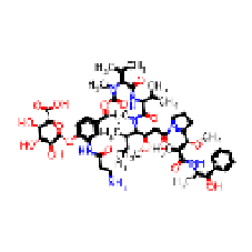 CCC(C)C(C(CC(=O)N1CCCC1C(OC)C(C)C(=O)NC(C)C(O)c1ccccc1)OC)N(C)C(=O)C(NC(=O)C(C(C)C)N(C)C(=O)OCc1ccc(O[C@H]2O[C@@H](C(=O)O)[C@H](O)[C@@H](O)[C@@H]2O)c(NC(=O)CCN)c1)C(C)C